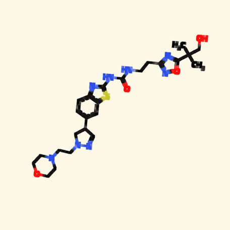 CC(C)(CO)c1nc(CCNC(=O)Nc2nc3ccc(C4C=NN(CCN5CCOCC5)C4)cc3s2)no1